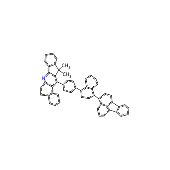 CC1(C)c2ccccc2-c2nc3ccc4ccccc4c3c(-c3ccc(-c4ccc(-c5ccc6c7c(cccc57)-c5ccccc5-6)c5ccccc45)cc3)c21